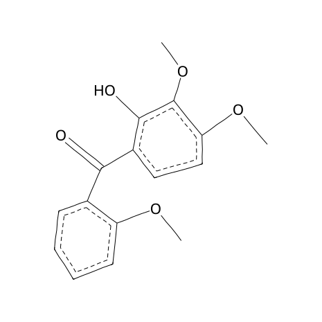 COc1ccccc1C(=O)c1ccc(OC)c(OC)c1O